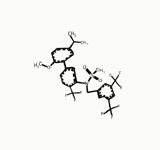 COc1ccc(C(C)C)cc1-c1ccc(C(F)(F)F)c(N(Cc2cc(C(F)(F)F)cc(C(F)(F)F)c2)S(C)(=O)=O)c1